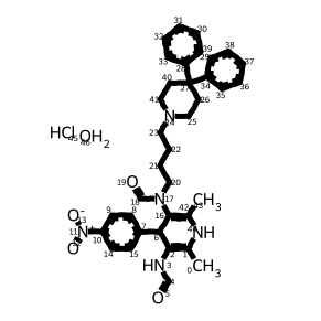 CC1=C(NC=O)C(c2ccc([N+](=O)[O-])cc2)C(N(C=O)CCCCN2CCC(c3ccccc3)(c3ccccc3)CC2)=C(C)N1.Cl.O